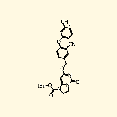 Cc1cccc(Oc2ccc(COc3cc4n(c(=O)n3)CCN4C(=O)OC(C)(C)C)cc2C#N)c1